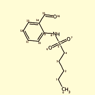 CCCCCS(=O)(=O)Nc1ccccc1C=O